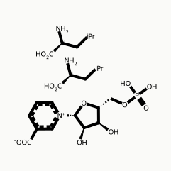 CC(C)C[C@H](N)C(=O)O.CC(C)C[C@H](N)C(=O)O.O=C([O-])c1ccc[n+]([C@@H]2O[C@H](COP(=O)(O)O)[C@@H](O)[C@H]2O)c1